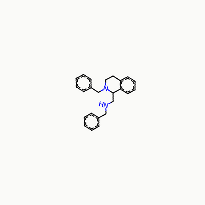 c1ccc(CNCC2c3ccccc3CCN2Cc2ccccc2)cc1